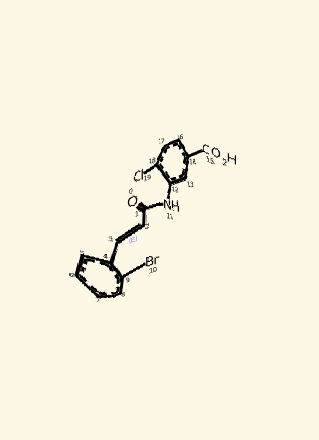 O=C(/C=C/c1ccccc1Br)Nc1cc(C(=O)O)ccc1Cl